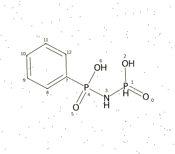 O=[PH](O)NP(=O)(O)c1ccccc1